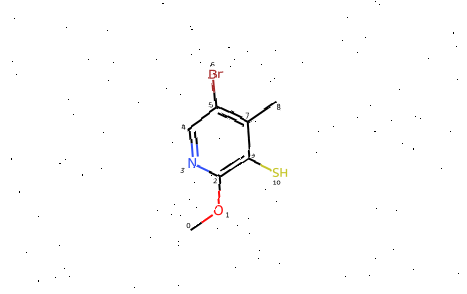 COc1ncc(Br)c(C)c1S